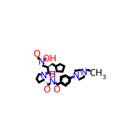 CCN1CCN(c2ccc(C(=O)NC(=O)[C@@H]3CCCN3C(=O)[C@H](CC3CCCC3)CN(O)C=O)cc2)CC1